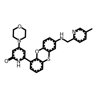 Cc1ccc(CNc2ccc3c(c2)Sc2cccc(-c4cc(N5CCOCC5)cc(=O)[nH]4)c2O3)nc1